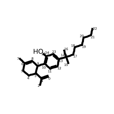 C=C(C)C1CCC(C)=CC1c1ccc(C(C)(C)CCCCCC)cc1O